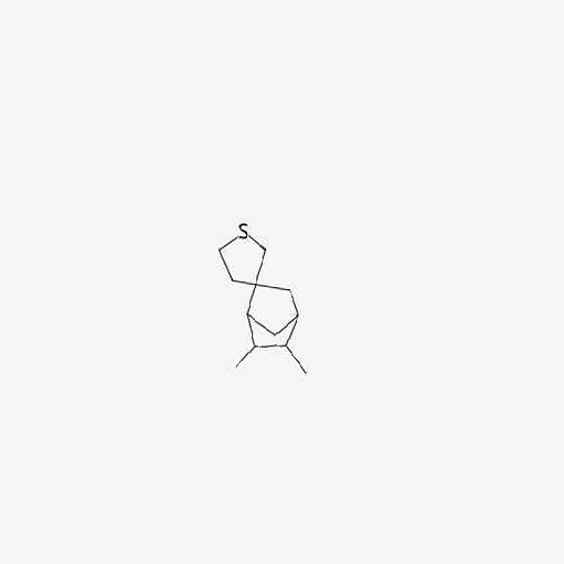 CC1C2CC(C1C)C1(CCSC1)C2